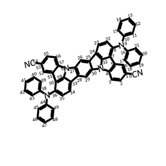 N#Cc1ccc2c(c1)c1c(N(c3ccccc3)c3ccccc3)ccc3c4cc5c(cc4n2c31)c1ccc(N(c2ccccc2)c2ccccc2)c2c3cc(C#N)ccc3n5c12